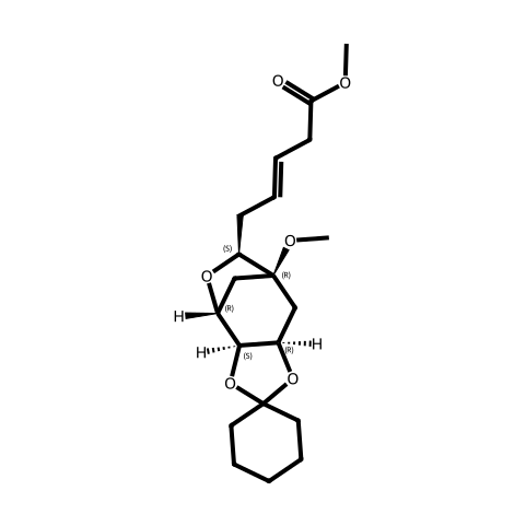 COC(=O)CC=CC[C@@H]1O[C@@H]2C[C@@]1(OC)C[C@H]1OC3(CCCCC3)O[C@@H]21